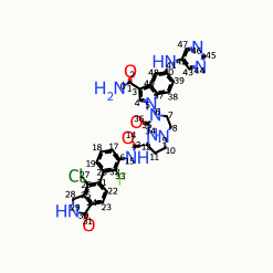 NC(=O)c1cn(N2CCN3CC[C@@H](C(=O)Nc4cccc(-c5ccc6c(c5Cl)CNC6=O)c4F)N3C2=O)c2ccc(Nc3cncnc3)cc12